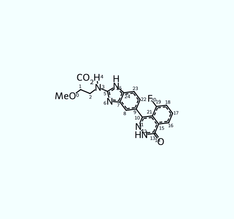 COCCN(C(=O)O)c1nc2cc(-c3n[nH]c(=O)c4cccc(F)c34)ccc2[nH]1